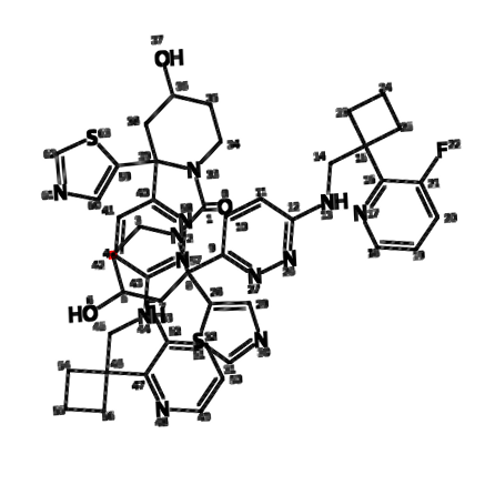 O=C(N1CCC(O)CC1(c1ccc(NCC2(c3ncccc3F)CCC2)nn1)c1cncs1)N1CCC(O)CC1(c1ccc(NCC2(c3ncccc3F)CCC2)nn1)c1cncs1